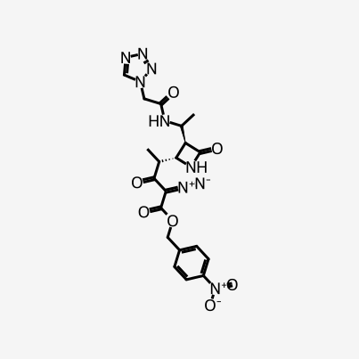 CC(C(=O)C(=[N+]=[N-])C(=O)OCc1ccc([N+](=O)[O-])cc1)[C@H]1NC(=O)[C@@H]1C(C)NC(=O)Cn1cnnn1